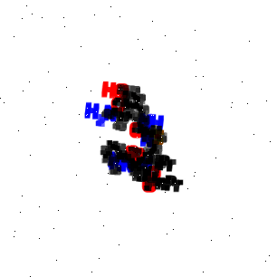 CCCC(=O)OCN(C(=O)[C@@H](NC(=O)[C@H]1CCCCN1C)C(C)CC)[C@H](CCc1nc(C(=O)NCCc2ccc(O)cc2C[C@@H](C)C(N)=O)cs1)C(C)C